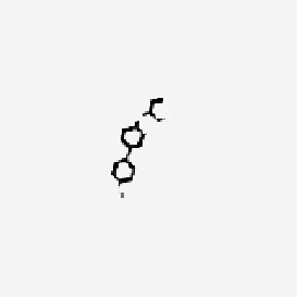 C=CC(CO)Oc1ccc(-c2ccc(Br)cc2)cc1